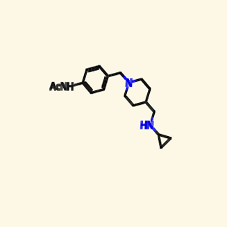 CC(=O)Nc1ccc(CN2CCC(CNC3CC3)CC2)cc1